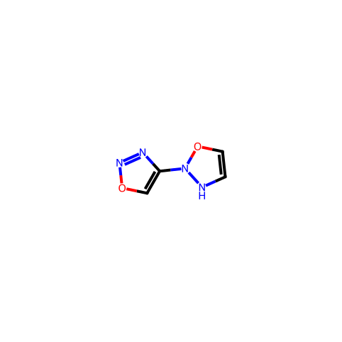 C1=CON(c2conn2)N1